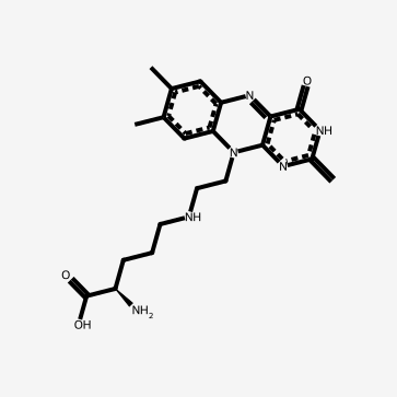 C=c1nc2c(c(=O)[nH]1)=Nc1cc(C)c(C)cc1N2CCNCCC[C@@H](N)C(=O)O